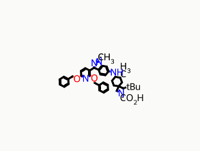 C[C@H]1CC2(CC[C@@H]1Nc1ccc3c(-c4ccc(OCc5ccccc5)nc4OCc4ccccc4)nn(C)c3c1)CN(C(=O)O)C2C(C)(C)C